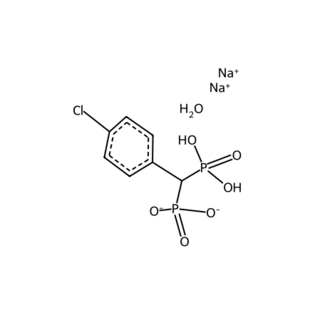 O.O=P([O-])([O-])C(c1ccc(Cl)cc1)P(=O)(O)O.[Na+].[Na+]